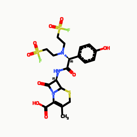 CC1=C(C(=O)O)N2C(=O)[C@@H](NC(=O)[C@@H](c3ccc(O)cc3)N(CCS(=O)(=O)F)CCS(=O)(=O)F)C2SC1